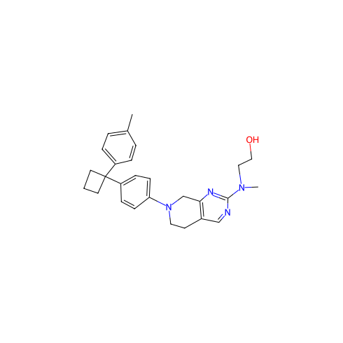 Cc1ccc(C2(c3ccc(N4CCc5cnc(N(C)CCO)nc5C4)cc3)CCC2)cc1